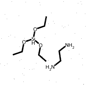 CCO[SiH](OCC)OCC.NCCN